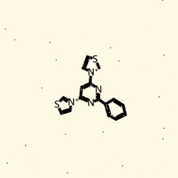 c1ccc(-c2nc(-[n+]3ccsc3)cc(-[n+]3ccsc3)n2)cc1